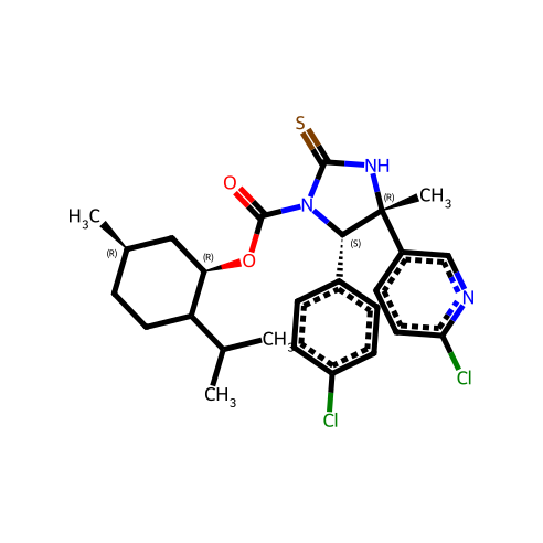 CC(C)C1CC[C@@H](C)C[C@H]1OC(=O)N1C(=S)N[C@](C)(c2ccc(Cl)nc2)[C@@H]1c1ccc(Cl)cc1